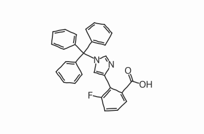 O=C(O)c1cccc(F)c1-c1cn(C(c2ccccc2)(c2ccccc2)c2ccccc2)cn1